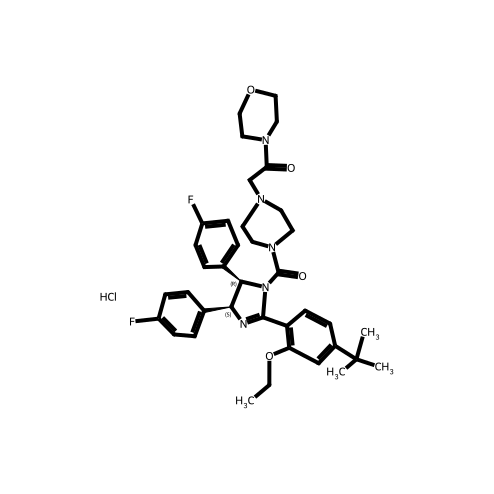 CCOc1cc(C(C)(C)C)ccc1C1=N[C@@H](c2ccc(F)cc2)[C@@H](c2ccc(F)cc2)N1C(=O)N1CCN(CC(=O)N2CCOCC2)CC1.Cl